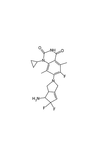 Cc1c(F)c(N2CC3=CC(F)(F)C(N)C3C2)c(C)c2c1c(=O)[nH]c(=O)n2C1CC1